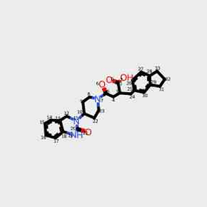 O=C(O)C(CC(=O)N1CCC(N2Cc3ccccc3NC2=O)CC1)Cc1ccc2c(c1)CCC2